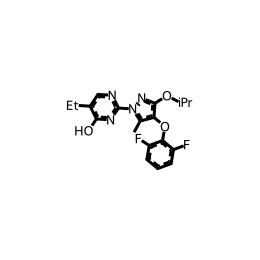 CCc1cnc(-n2nc(OC(C)C)c(Oc3c(F)cccc3F)c2C)nc1O